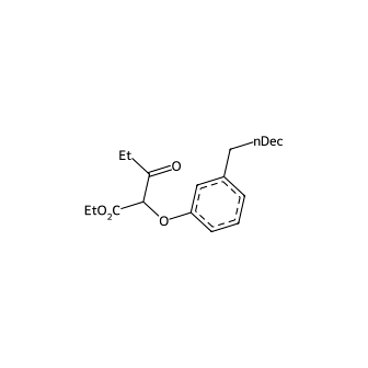 CCCCCCCCCCCc1cccc(OC(C(=O)CC)C(=O)OCC)c1